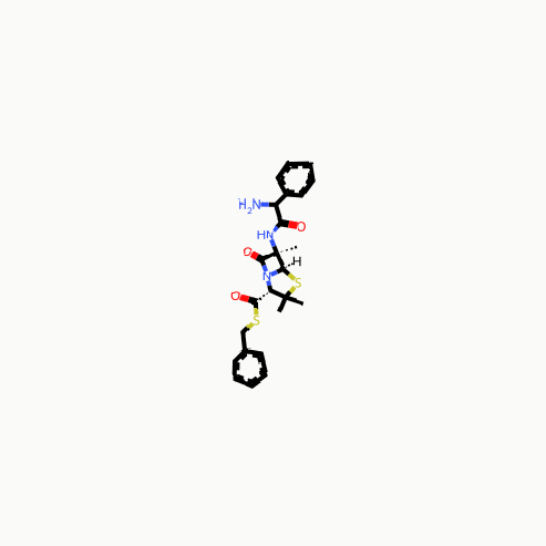 CC1(C)S[C@H]2N(C(=O)[C@@]2(C)NC(=O)C(N)c2ccccc2)[C@H]1C(=O)SCc1ccccc1